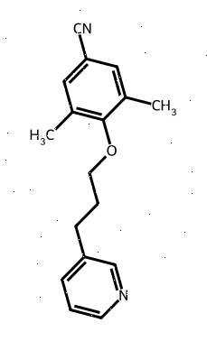 Cc1cc(C#N)cc(C)c1OCCCc1cccnc1